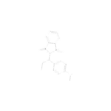 CCC(c1ccc(OC)cc1)N1C(=O)c2ccccc2C1=O